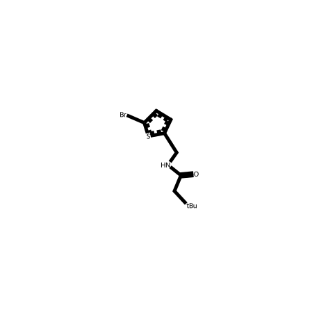 CC(C)(C)CC(=O)NCc1ccc(Br)s1